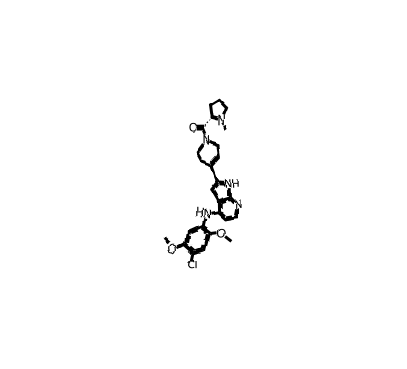 COc1cc(Nc2ccnc3[nH]c(C4=CCN(C(=O)[C@@H]5CCCN5C)CC4)cc23)c(OC)cc1Cl